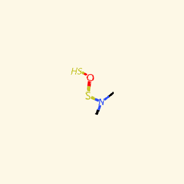 CN(C)SOS